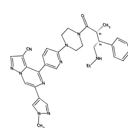 CCNC[C@@H](c1ccccc1)[C@@H](C)C(=O)N1CCN(c2ccc(-c3nc(-c4cnn(C)c4)cn4ncc(C#N)c34)cn2)CC1